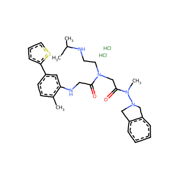 Cc1ccc(-c2cccs2)cc1NCC(=O)N(CCNC(C)C)CC(=O)N(C)N1Cc2ccccc2C1.Cl.Cl